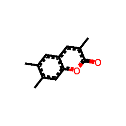 Cc1cc2cc(C)c(=O)oc2cc1C